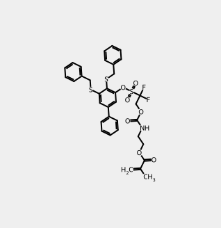 C=C(C)C(=O)OCCNC(=O)OCC(F)(F)S(=O)(=O)Oc1cc(-c2ccccc2)cc(SCc2ccccc2)c1SCc1ccccc1